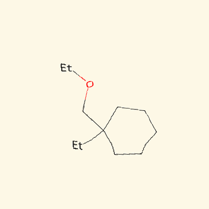 CCOCC1(CC)CCCCC1